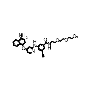 C#Cc1cc(Nc2cc(Oc3ccc(N)c4ccccc34)ccn2)cc(C(=O)NCCOCCOCCOC)c1